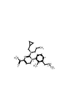 CCCN(CC1CC1)C1=NC(C(N)=O)=CCN1c1cccc(CNC)c1C